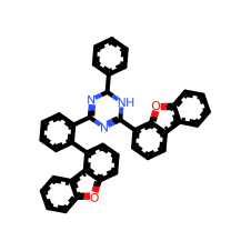 c1ccc(C2N=C(c3ccccc3-c3cccc4oc5ccccc5c34)N=C(c3cccc4c3oc3ccccc34)N2)cc1